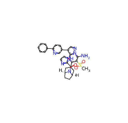 CS(=O)(=O)c1c([C@H]2C[C@H]3CC[C@@H](C2)N3C(=O)c2ncc[nH]2)nc2c(-c3ccc(-c4ccccc4)nc3)cnn2c1N